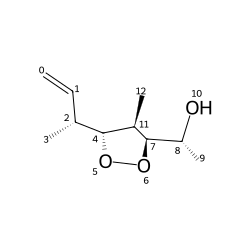 C=C[C@@H](C)[C@H]1OO[C@H]([C@@H](C)O)[C@@H]1C